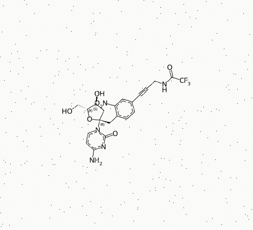 Nc1ccn([C@@]2(Cc3ccc(C#CCNC(=O)C(F)(F)F)cc3[N+](=O)[O-])C[C@H](O)[C@@H](CO)O2)c(=O)n1